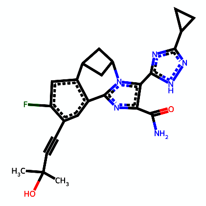 CC(C)(O)C#Cc1cc2c(cc1F)C1CC(C1)n1c-2nc(C(N)=O)c1-c1nc(C2CC2)n[nH]1